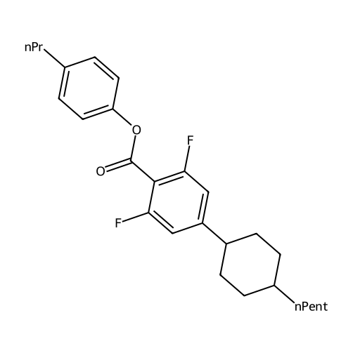 CCCCCC1CCC(c2cc(F)c(C(=O)Oc3ccc(CCC)cc3)c(F)c2)CC1